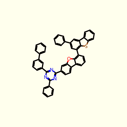 c1ccc(-c2cccc(-c3nc(-c4ccccc4)nc(-c4ccc5c(c4)oc4c(-c6cc(-c7ccccc7)cc7c6sc6ccccc67)cccc45)n3)c2)cc1